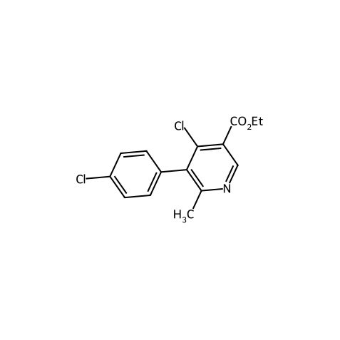 CCOC(=O)c1cnc(C)c(-c2ccc(Cl)cc2)c1Cl